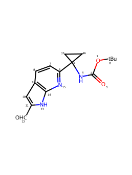 CC(C)(C)OC(=O)NC1(c2ccc3cc(C=O)[nH]c3n2)CC1